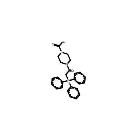 CC(C)C(=O)N1CCN(C(=O)C[PH](c2ccccc2)(c2ccccc2)c2ccccc2)CC1